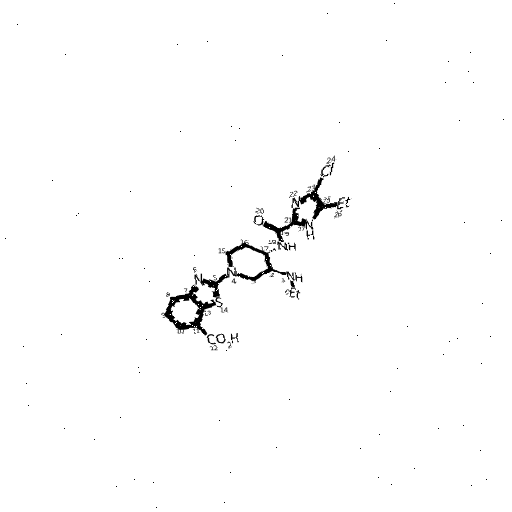 CCN[C@H]1CN(c2nc3cccc(C(=O)O)c3s2)CC[C@@H]1NC(=O)c1nc(Cl)c(CC)[nH]1